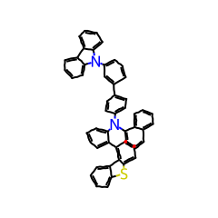 c1cc(-c2ccc(N(c3ccccc3-c3cccc4sc5ccccc5c34)c3cccc4ccccc34)cc2)cc(-n2c3ccccc3c3ccccc32)c1